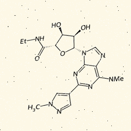 CCNC(=O)[C@H]1O[C@@H](n2cnc3c(NC)nc(-c4cnn(C)c4)nc32)[C@H](O)[C@@H]1O